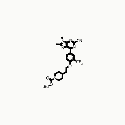 Cc1nc2c(-c3ccc(OCCC4CCN(C(=O)OC(C)(C)C)CC4)c(C(F)(F)F)c3)nc(C#N)nc2n1C